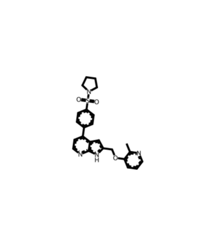 Cc1ncccc1OCc1cc2c(-c3ccc(S(=O)(=O)N4CCCC4)cc3)ccnc2[nH]1